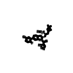 CCOC(=O)[C@@H](C[C@@H](Cc1ccc(-c2cc(Cl)ccc2F)cc1)NC(=O)c1cnn[nH]1)CN1CC(C)(C)C1